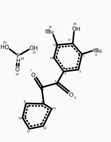 CC(C)(C)c1cc(C(=O)C(=O)c2ccccc2)cc(C(C)(C)C)c1O.O=[PH](O)O